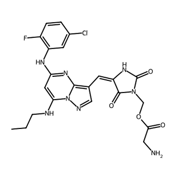 CCCNc1cc(Nc2cc(Cl)ccc2F)nc2c(C=C3NC(=O)N(COC(=O)CN)C3=O)cnn12